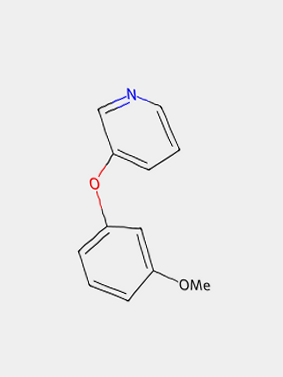 COc1cccc(Oc2cccnc2)c1